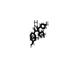 CC=C1C[C@H]2C=C(c3c[nH]c(-c4ccc(F)cc4)c3-c3ccncc3)CCN2C1